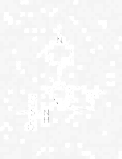 Cc1ccc2c(c1)c(C1CCN(C)CC1)cn2NS(C)(=O)=O